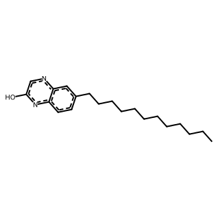 CCCCCCCCCCCCc1ccc2nc(O)cnc2c1